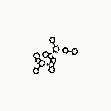 c1ccc(-c2ccc(-c3nc(-c4ccccc4)nc(-n4c5ccccc5c5c4ccc4c6ccccc6n(-c6cc(-c7ccccc7)c7oc8ccccc8c7c6)c45)n3)cc2)cc1